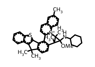 COC1(NC2CCCCC2)C2(C)c3ccc4c(c3-c3ccc5cc(C)ccc5[n+]3C12C)-c1sc2ccccc2c1C4(C)C